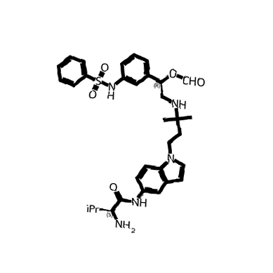 CC(C)[C@H](N)C(=O)Nc1ccc2c(ccn2CCC(C)(C)NC[C@H](OC=O)c2cccc(NS(=O)(=O)c3ccccc3)c2)c1